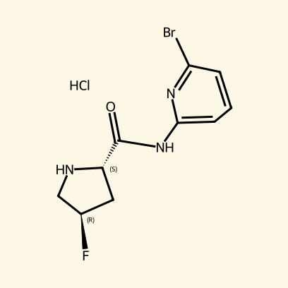 Cl.O=C(Nc1cccc(Br)n1)[C@@H]1C[C@@H](F)CN1